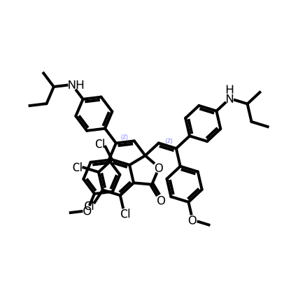 CCC(C)Nc1ccc(/C(=C/C2(/C=C(/c3ccc(NC(C)CC)cc3)c3ccc(OC)cc3)OC(=O)c3c(Cl)c(Cl)c(Cl)c(Cl)c32)c2ccc(OC)cc2)cc1